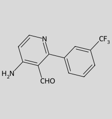 Nc1ccnc(-c2cccc(C(F)(F)F)c2)c1C=O